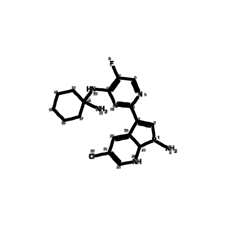 NN1C=C(c2ncc(F)c(NC3(N)CCCCC3)n2)C2=CC(Cl)=CNC21